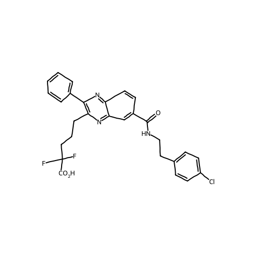 O=C(NCCc1ccc(Cl)cc1)c1ccc2nc(-c3ccccc3)c(CCCC(F)(F)C(=O)O)nc2c1